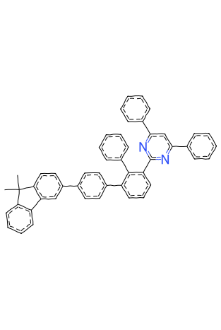 CC1(C)c2ccccc2-c2cc(-c3ccc(-c4cccc(-c5nc(-c6ccccc6)cc(-c6ccccc6)n5)c4-c4ccccc4)cc3)ccc21